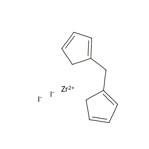 C1=CCC(CC2=CC=CC2)=C1.[I-].[I-].[Zr+2]